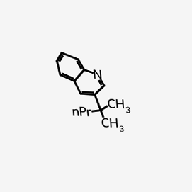 CCCC(C)(C)c1cnc2ccccc2c1